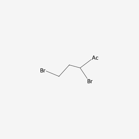 CC(=O)C(Br)CCBr